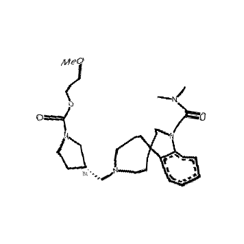 COCCOC(=O)N1CC[C@@H](CN2CCC3(CC2)CN(C(=O)N(C)C)c2ccccc23)C1